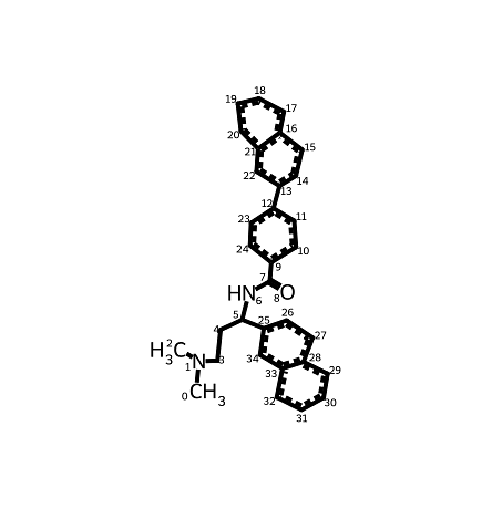 CN(C)CCC(NC(=O)c1ccc(-c2ccc3ccccc3c2)cc1)c1ccc2ccccc2c1